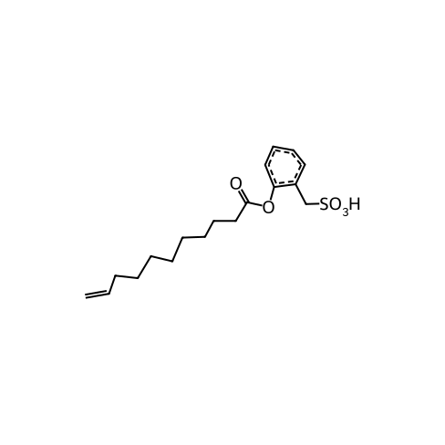 C=CCCCCCCCCC(=O)Oc1ccccc1CS(=O)(=O)O